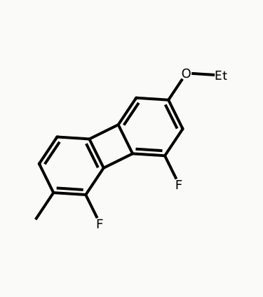 CCOc1cc(F)c2c(c1)-c1ccc(C)c(F)c1-2